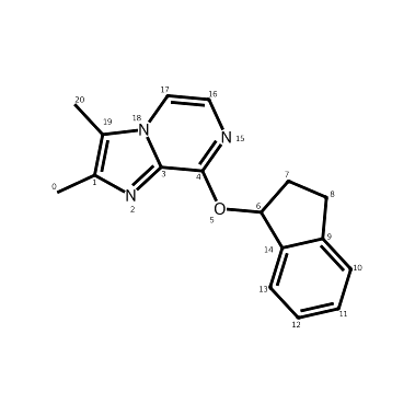 Cc1nc2c(OC3CCc4ccccc43)nccn2c1C